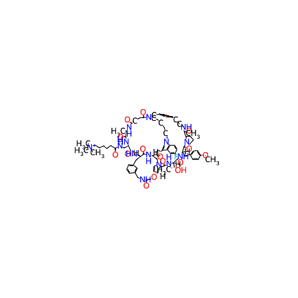 COc1ccc(C[C@@H]2NC(=O)[C@H]([C@@H](C)O)NC(=O)C3[C@@H]4C=CN3C(=O)[C@@H]3Cc5cn(c6ccc(F)cc56)CCCCCCN(Cc5ccc(cc5)CCNC(=O)[C@]5(C)CCCN5C2=O)C(=O)CCC(=O)N[C@@H](C)C(=O)N[C@H](CNC(=O)CCCCC[N+](C)(C)C)C(=O)N[C@@H](Cc2cccc(c2)CNC(=O)CO4)C(=O)N3)cc1